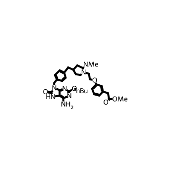 CCCCOc1nc(N)c2[nH]c(=O)n(Cc3ccc(CC4CCN(CCOc5cccc(CC(=O)OC)c5)C(NC)C4)cc3)c2n1